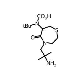 CC(C)(N)CN1CCSCC(N(C(=O)O)C(C)(C)C)C1=O